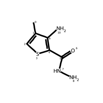 Cc1csc(C(=O)NN)c1N